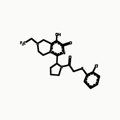 O=C(CSc1ccccc1Cl)N1CCCC1c1nc(=O)c(O)c2n1CCN(CC(F)(F)F)C2